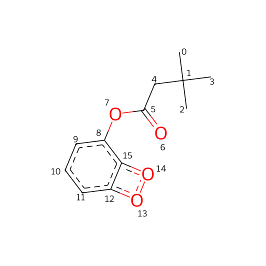 CC(C)(C)CC(=O)Oc1cccc2ooc12